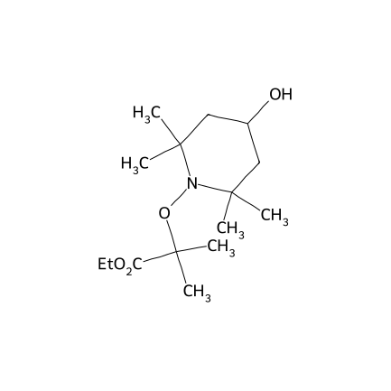 CCOC(=O)C(C)(C)ON1C(C)(C)CC(O)CC1(C)C